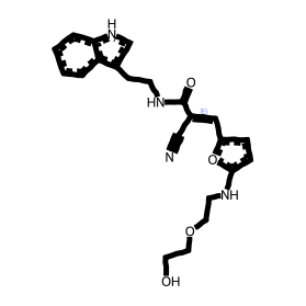 N#C/C(=C\c1ccc(NCCOCCO)o1)C(=O)NCCc1c[nH]c2ccccc12